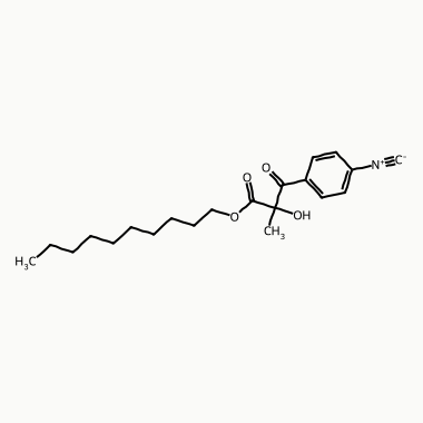 [C-]#[N+]c1ccc(C(=O)C(C)(O)C(=O)OCCCCCCCCCC)cc1